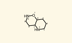 C1CNC2CCNOC2C1